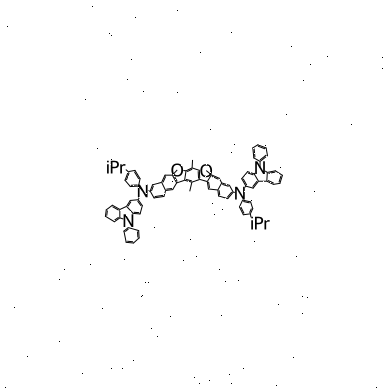 Cc1c2oc3cc4cc(N(c5ccc(C(C)C)cc5)c5ccc6c(c5)c5ccccc5n6-c5ccccc5)ccc4cc3c2c(C)c2c1oc1cc3cc(N(c4ccc(C(C)C)cc4)c4ccc5c(c4)c4ccccc4n5-c4ccccc4)ccc3cc12